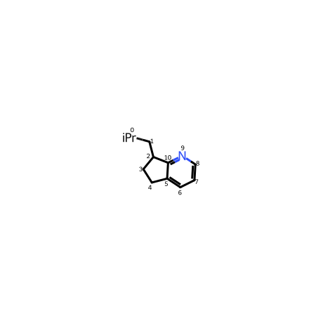 CC(C)CC1CCc2cccnc21